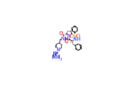 NN=CN1CCC(CNC(=O)[C@@H]2CCCN2C(=O)[C@@H](Cc2ccccc2)NS(=O)(=O)c2ccccc2)CC1